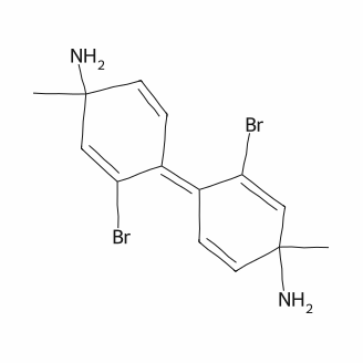 CC1(N)C=CC(=C2C=CC(C)(N)C=C2Br)C(Br)=C1